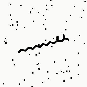 CCCCCCCCCCCNC[C](C)C